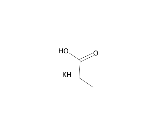 CCC(=O)O.[KH]